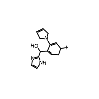 OC(C1=CCC(F)C=C1N1CC=CC1)c1ncc[nH]1